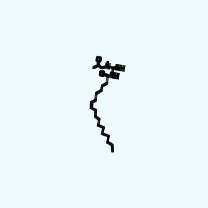 CCCCCCCCCC/C=C\CCCCCC(=O)NC(=N)N(C)CC(C)=O